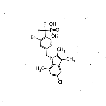 Cc1c(C)n(Cc2ccc(C(F)(F)P(=O)(O)O)c(Br)c2)c2c(C)cc(Cl)cc12